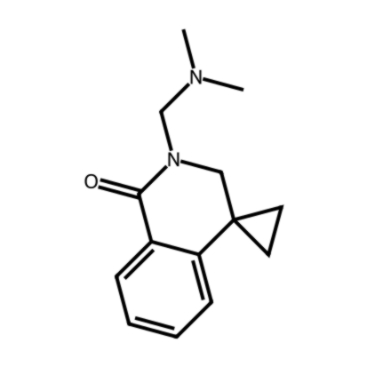 CN(C)CN1CC2(CC2)c2ccccc2C1=O